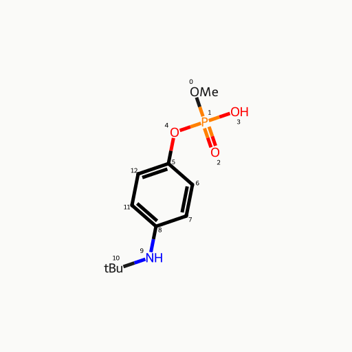 COP(=O)(O)Oc1ccc(NC(C)(C)C)cc1